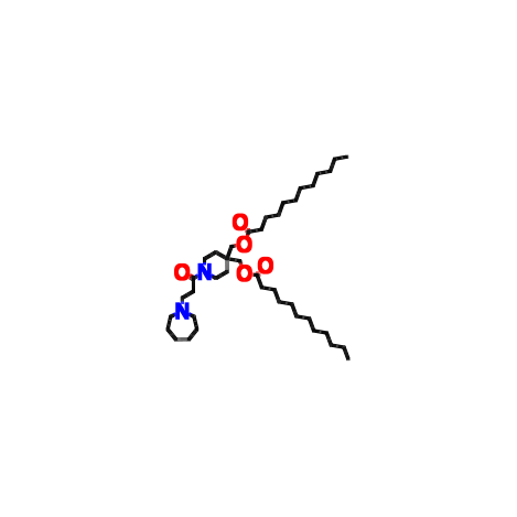 CCCCCCCCCCCC(=O)OCC1(COC(=O)CCCCCCCCCCC)CCN(C(=O)CCN2CCCCCC2)CC1